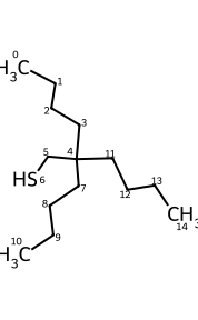 CCCCC(CS)(CCCC)CCCC